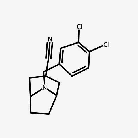 N#CC1CC2CCC(C1)N2Cc1ccc(Cl)c(Cl)c1